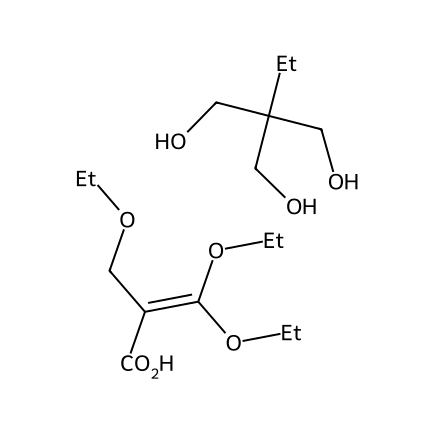 CCC(CO)(CO)CO.CCOCC(C(=O)O)=C(OCC)OCC